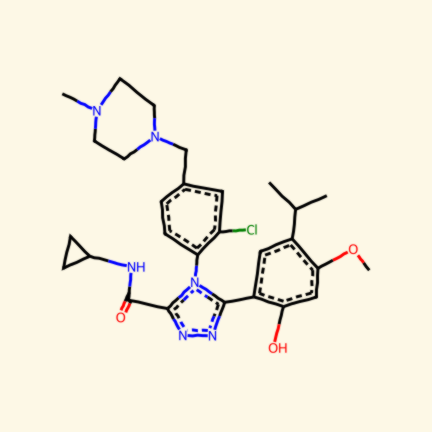 COc1cc(O)c(-c2nnc(C(=O)NC3CC3)n2-c2ccc(CN3CCN(C)CC3)cc2Cl)cc1C(C)C